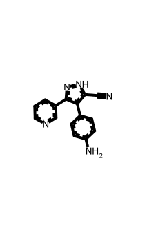 N#Cc1[nH]nc(-c2cccnc2)c1-c1ccc(N)cc1